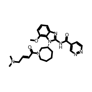 COc1cccc2nc(NC(=O)c3ccnnc3)n([C@@H]3CCCCN(C(=O)C=CCN(C)C)C3)c12